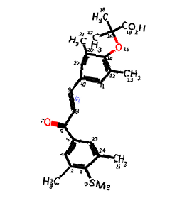 CSc1c(C)cc(C(=O)/C=C/c2cc(C)c(OC(C)(C)C(=O)O)c(C)c2)cc1C